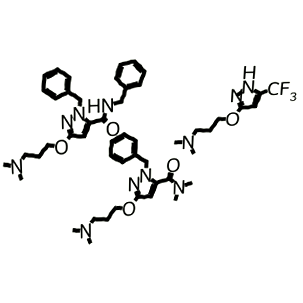 CN(C)CCCOc1cc(C(=O)N(C)C)n(Cc2ccccc2)n1.CN(C)CCCOc1cc(C(=O)NCc2ccccc2)n(Cc2ccccc2)n1.CN(C)CCCOc1cc(C(F)(F)F)[nH]n1